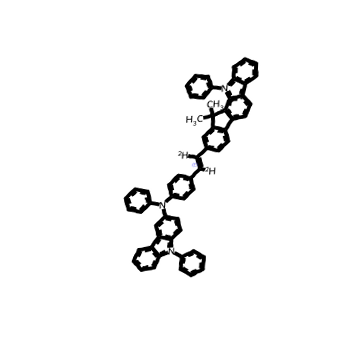 [2H]/C(=C(/[2H])c1ccc2c(c1)C(C)(C)c1c-2ccc2c3ccccc3n(-c3ccccc3)c12)c1ccc(N(c2ccccc2)c2ccc3c(c2)c2ccccc2n3-c2ccccc2)cc1